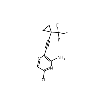 Nc1nc(Cl)cnc1C#CC1(C(F)(F)F)CC1